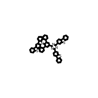 c1ccc(-c2cc(-c3nc(-c4ccc5c(c4)sc4ccccc45)nc(-c4ccc5c(c4)sc4ccccc45)n3)cc(-c3ccccc3)c2-n2c3ccccc3c3cc4c(cc32)sc2ccccc24)cc1